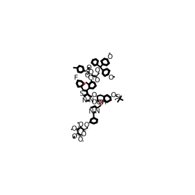 COc1ccc(C(OC[C@H](COS(=O)(=O)c2ccc(C)cc2)Oc2ccc(-c3c(-c4ccc(F)cc4)sc4ncnc(OC(Cc5cc(O[Si](C)(C)C(C)(C)C)ccc5OCc5ccnc(-c6cccc(OC[C@H]7O[C@H](OC)[C@@H](OC)[C@@H](OC)[C@@H]7OC)c6)n5)C(=O)O)c34)c(C)c2Cl)(c2ccccc2)c2ccc(OC)cc2)cc1